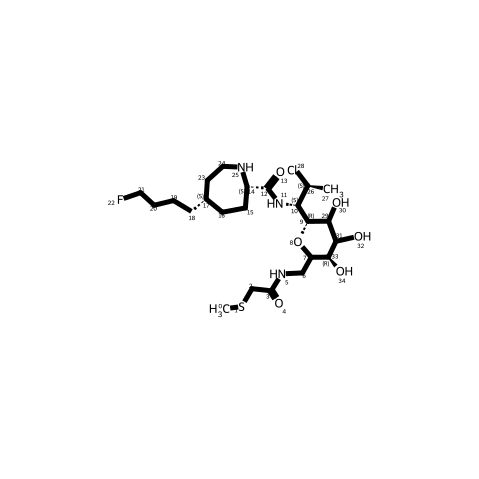 CSCC(=O)NCC1O[C@H]([C@H](NC(=O)[C@@H]2CC[C@H](CCCCF)CCN2)[C@H](C)Cl)C(O)C(O)[C@H]1O